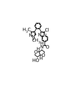 Cc1nn(C)cc1-c1ccccc1-c1nc2cc(C(=O)N[C@@H]3CO[C@H]4[C@@H]3OC[C@H]4O)ccn2c1Cl